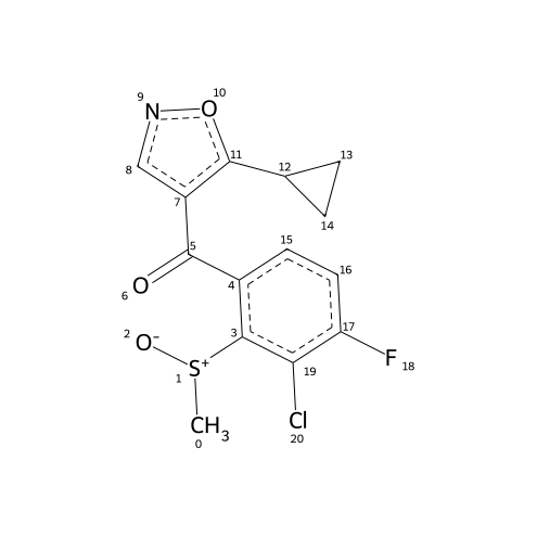 C[S+]([O-])c1c(C(=O)c2cnoc2C2CC2)ccc(F)c1Cl